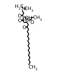 CCCCCCCCCCCCCCCCCC(=O)CC(CC(=O)P(O)C(=O)CCN(C)C)NC(=O)CC